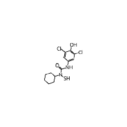 O=C(Nc1cc(Cl)c(O)c(Cl)c1)N(S)C1CCCCC1